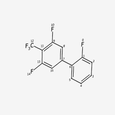 Fc1ccccc1-c1cc(F)c(C(F)(F)F)c(F)c1